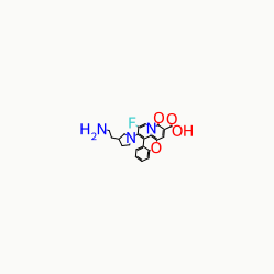 NCCC1CCN(c2c(F)cn3c(=O)c(C(=O)O)cc4c3c2-c2ccccc2O4)C1